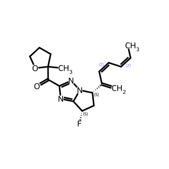 C=C(/C=C\C=C/C)[C@@H]1C[C@H](F)c2nc(C(=O)C3(C)CCCO3)nn21